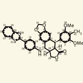 COc1cc([C@@H]2c3cc4c(cc3[C@@H](Nc3ccc(-c5nc6ccccc6s5)cc3)[C@H]3COC(=O)[C@H]23)OCO4)cc(OC)c1C